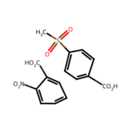 CS(=O)(=O)c1ccc(C(=O)O)cc1.O=C(O)c1ccccc1[N+](=O)[O-]